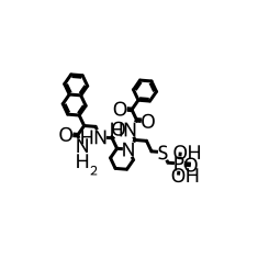 NC(=O)C(CNC(=O)C1CCCCN1C(CCSCP(=O)(O)O)NC(=O)C(=O)c1ccccc1)c1ccc2ccccc2c1